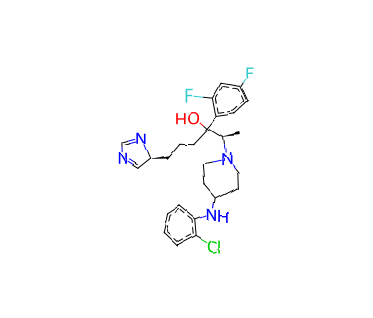 C[C@@H](N1CCC(Nc2ccccc2Cl)CC1)C(O)(CCC[C@H]1C=NC=N1)c1ccc(F)cc1F